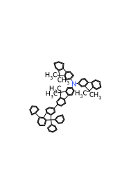 CC1(C)c2ccccc2-c2ccc(N(c3ccc4c(c3)C(C)(C)c3ccccc3-4)c3ccc4c(c3)C(C)(C)c3cc(-c5ccc6c(c5)C(c5ccccc5)(c5ccccc5)c5cccc(-c7ccccc7)c5-6)ccc3-4)cc21